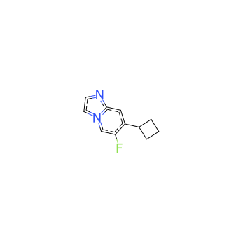 Fc1cn2ccnc2cc1C1CCC1